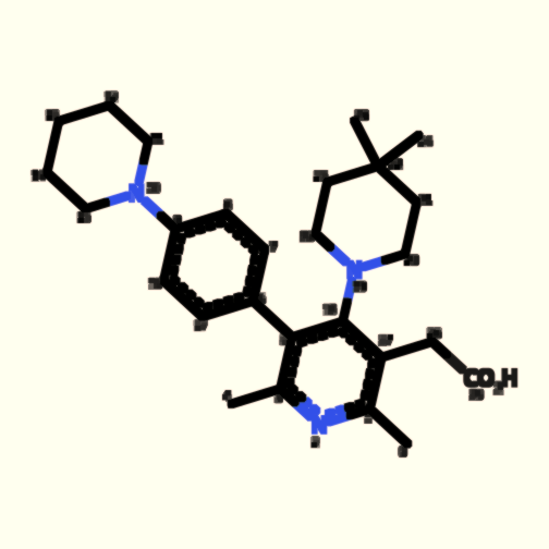 Cc1nc(C)c(-c2ccc(N3CCCCC3)cc2)c(N2CCC(C)(C)CC2)c1CC(=O)O